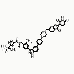 Cc1cc(-c2n[nH]c3ccc(-c4ccc(N5CCN(Cc6ccc7c(c6)CN(C6CCC(=O)NC6=O)C7=O)CC5)cc4)cc23)ccc1CNC(=O)c1nc(C(C)(C)C)no1